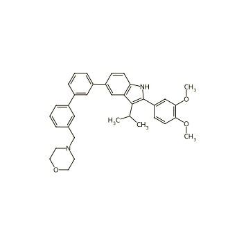 COc1ccc(-c2[nH]c3ccc(-c4cccc(-c5cccc(CN6CCOCC6)c5)c4)cc3c2C(C)C)cc1OC